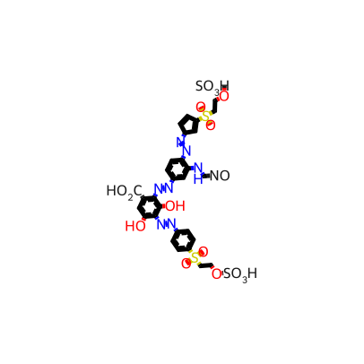 O=NCNc1cc(N=Nc2c(C(=O)O)cc(O)c(N=Nc3ccc(S(=O)(=O)CCOS(=O)(=O)O)cc3)c2O)ccc1N=NC1C=CC(S(=O)(=O)CCOS(=O)(=O)O)=C1